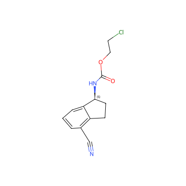 N#Cc1cccc2c1CC[C@@H]2NC(=O)OCCCl